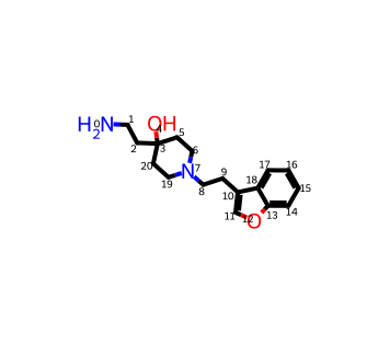 NCCC1(O)CCN(CCc2coc3ccccc23)CC1